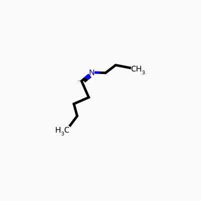 CCCC/[C]=N\CCC